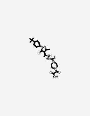 CC1=NN(c2ccc(C(C)(C)C)cc2)C(=O)C1=C(C)NNC(=S)N1CCN(C(=O)C(=O)O)CC1